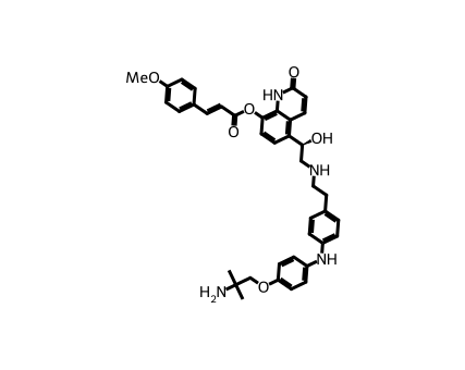 COc1ccc(/C=C/C(=O)Oc2ccc([C@@H](O)CNCCc3ccc(Nc4ccc(OCC(C)(C)N)cc4)cc3)c3ccc(=O)[nH]c23)cc1